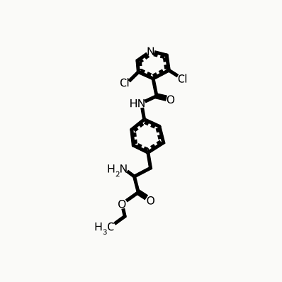 CCOC(=O)C(N)Cc1ccc(NC(=O)c2c(Cl)cncc2Cl)cc1